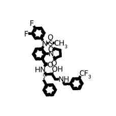 CS(=O)(=O)N(c1ccc(F)c(F)c1)c1cccc(C(=O)N[C@@H](Cc2ccccc2)[C@H](O)CNCc2cccc(C(F)(F)F)c2)c1N1CCCC1=O